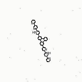 C1=C(c2ccc3c4ccc(-c5ccc(C6=CC=C(c7ccccn7)CN6)nc5)cc4c4ccccc4c3c2)CNC(c2ccc(-c3ccccn3)cn2)=C1